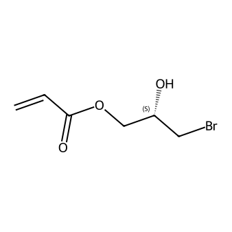 C=CC(=O)OC[C@H](O)CBr